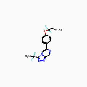 COCC(F)(F)Oc1ccc(-c2cn3c(C(C)(F)F)nnc3cn2)cc1